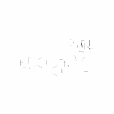 CCC(c1ccc(C(F)(F)F)cc1)n1c2c(c3c(-c4cccc(OC(F)(F)F)c4)cccc31)CCCC2CC(=O)O